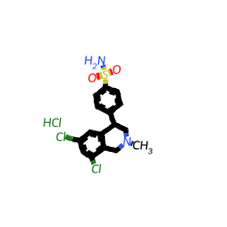 CN1Cc2c(Cl)cc(Cl)cc2C(c2ccc(S(N)(=O)=O)cc2)C1.Cl